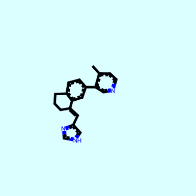 Cc1ccncc1-c1ccc2c(c1)C(=Cc1c[nH]cn1)CCC2